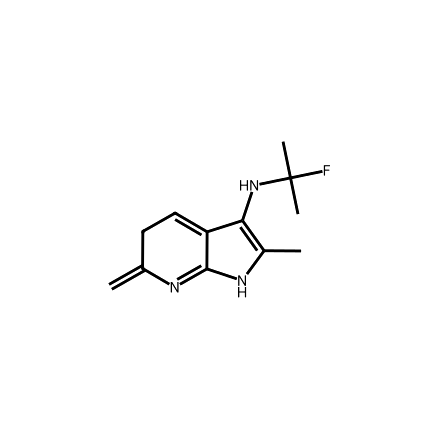 C=C1CC=c2c(NC(C)(C)F)c(C)[nH]c2=N1